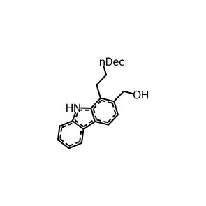 CCCCCCCCCCCCc1c(CO)ccc2c1[nH]c1ccccc12